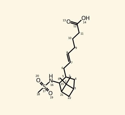 CC1(C)C2CC(CC=CCCCC(=O)O)C(NS(C)(=O)=O)C1C2